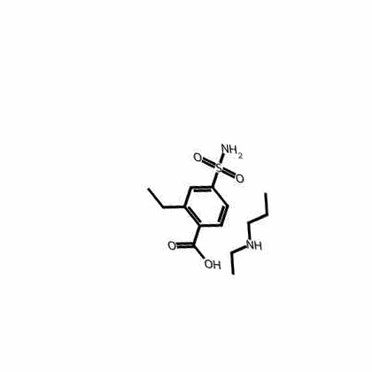 CCCNCC.CCc1cc(S(N)(=O)=O)ccc1C(=O)O